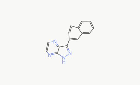 c1ccc2cc(-c3n[nH]c4nccnc34)ccc2c1